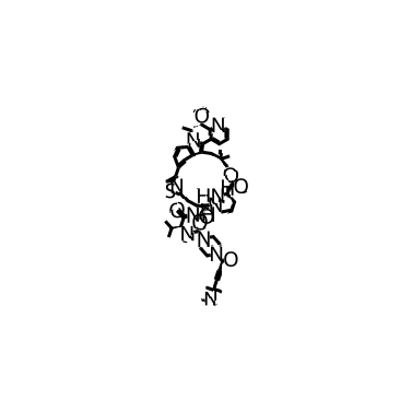 CCn1c(-c2cccnc2[C@H](C)OC)c2c3cc(ccc31)-c1csc(n1)C[C@H](NC(=O)[C@H](C(C)C)N(C)C(=O)N1CCN(C(=O)C#CC(C)(C)N(C)C)CC1)C(=O)N1CCC[C@H](N1)C(=O)OCC(C)(C)C2